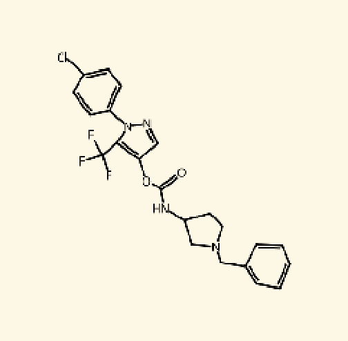 O=C(NC1CCN(Cc2ccccc2)C1)Oc1cnn(-c2ccc(Cl)cc2)c1C(F)(F)F